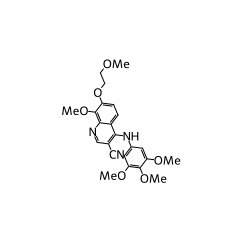 COCCOc1ccc2c(Nc3cc(OC)c(OC)c(OC)c3)c(C#N)cnc2c1OC